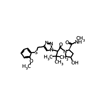 CNC(=O)[C@H]1CC(O)CN1C(=O)C(n1cc(CSc2ccccc2OC)nn1)C(C)(C)C